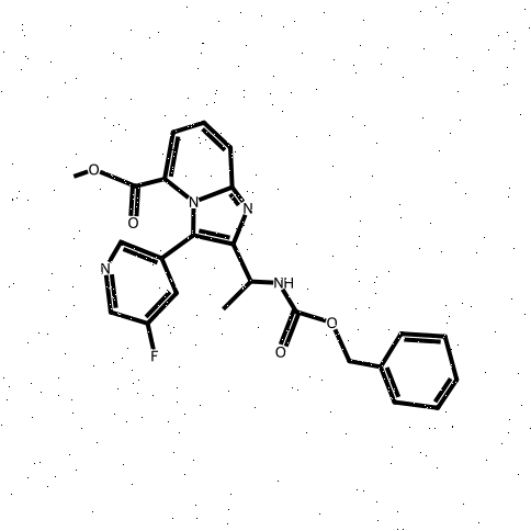 COC(=O)c1cccc2nc(C(C)NC(=O)OCc3ccccc3)c(-c3cncc(F)c3)n12